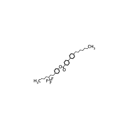 CCCCCCCc1ccc(-c2ccc(C(=O)Oc3ccc(CCC(CCCC)C(F)(F)F)cc3)cc2)cc1